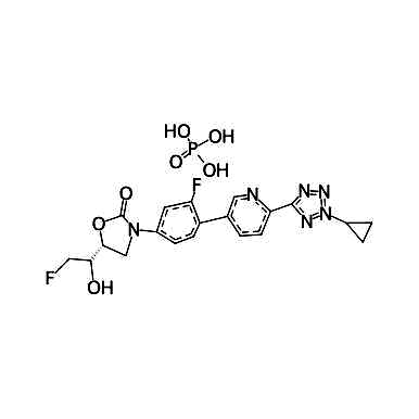 O=C1O[C@@H](C(O)CF)CN1c1ccc(-c2ccc(-c3nnn(C4CC4)n3)nc2)c(F)c1.O=P(O)(O)O